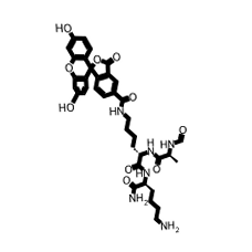 C[C@H](NC=O)C(=O)N[C@@H](CCCCNC(=O)c1ccc2c(c1)C(=O)OC21c2ccc(O)cc2Oc2cc(O)ccc21)C(=O)N[C@@H](CCCCN)C(N)=O